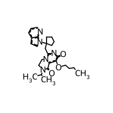 CCCCOc1c2n(c(CC3(n4ccc5cccnc54)CCCC3)nc1=O)CCN(C(C)C)C2=O